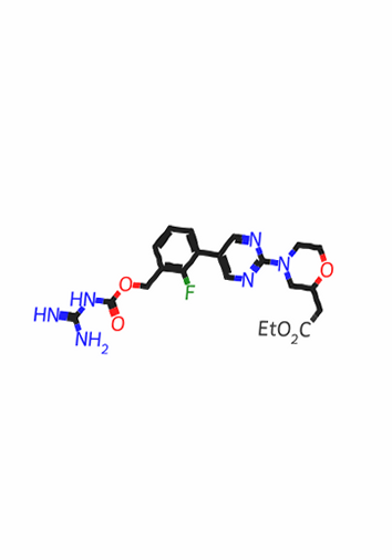 CCOC(=O)CC1CN(c2ncc(-c3cccc(COC(=O)NC(=N)N)c3F)cn2)CCO1